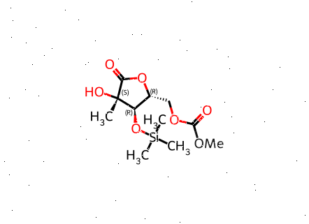 COC(=O)OC[C@H]1OC(=O)[C@@](C)(O)[C@@H]1O[Si](C)(C)C